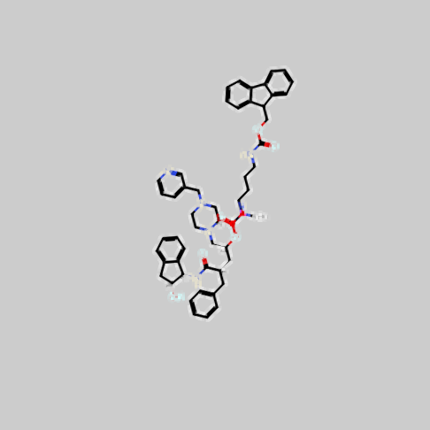 CC(C)(C)NC(=O)[C@@H]1CN(Cc2cccnc2)CCN1C[C@H](C[C@@H](Cc1ccccc1)C(=O)N[C@H]1c2ccccc2C[C@H]1O)OC(=O)CCCCCNC(=O)OCC1c2ccccc2-c2ccccc21